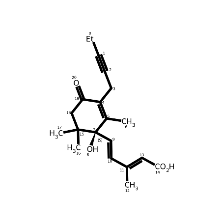 CCC#CCC1=C(C)[C@](O)(C=CC(C)=CC(=O)O)C(C)(C)CC1=O